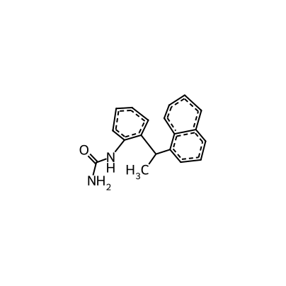 CC(c1ccccc1NC(N)=O)c1cccc2ccccc12